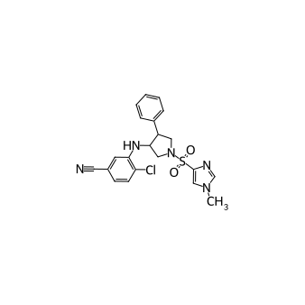 Cn1cnc(S(=O)(=O)N2CC(Nc3cc(C#N)ccc3Cl)C(c3ccccc3)C2)c1